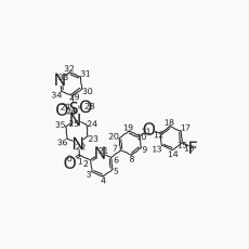 O=C(c1cccc(-c2ccc(Oc3ccc(F)cc3)cc2)n1)N1CCN(S(=O)(=O)c2cccnc2)CC1